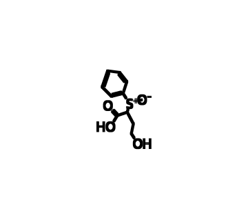 O=C(O)C(CCO)[S+]([O-])c1ccccc1